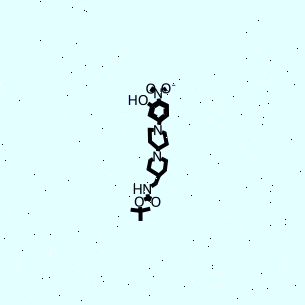 CC(C)(C)OC(=O)NCC1CCN(C2CCN(c3ccc([N+](=O)[O-])c(O)c3)CC2)CC1